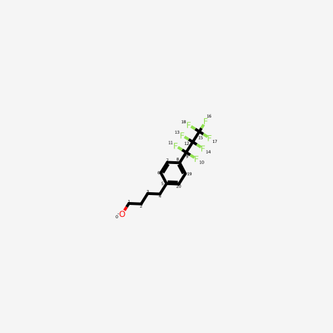 [O]CCCCc1ccc(C(F)(F)C(F)(F)C(F)(F)F)cc1